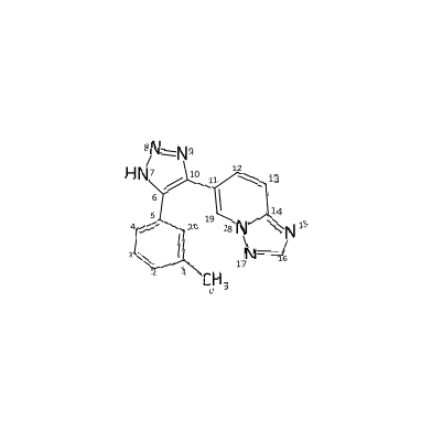 Cc1cccc(-c2[nH]nnc2-c2ccc3ncnn3c2)c1